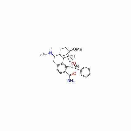 CCCN(C)[C@@H]1Cc2ccc(C(N)=O)c(OC)c2C2C(C)[C@@]3(OC)CC[C@]21C[C@@H]3COCc1ccccc1